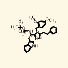 COc1ccc(Cn2c(CCc3ccccc3)nnc2[C@@H](Cc2c[nH]c3ccccc23)NC(=O)OC(C)(C)C)c(OC)c1